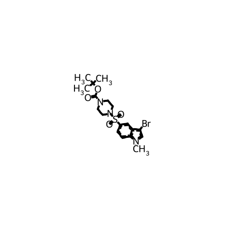 Cn1cc(Br)c2cc(S(=O)(=O)N3CCN(C(=O)OC(C)(C)C)CC3)ccc21